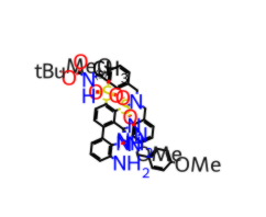 COc1ccc(CN(Cc2ccc(OC)cc2)S(=O)(=O)c2c(S(=O)(=O)C[C@H](C)NC(=O)OC(C)(C)C)ccc(-c3cccc(N)c3N)c2-c2nnn(Cc3ccc(OC)cc3)n2)cc1